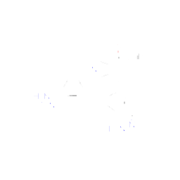 CC(C)OC(=O)c1cn(Cc2ccc(/C=N\N)cc2)cc1Cc1cccc(/C=N\N)c1